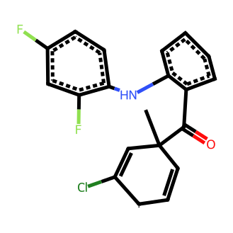 CC1(C(=O)c2ccccc2Nc2ccc(F)cc2F)C=C[CH]C(Cl)=C1